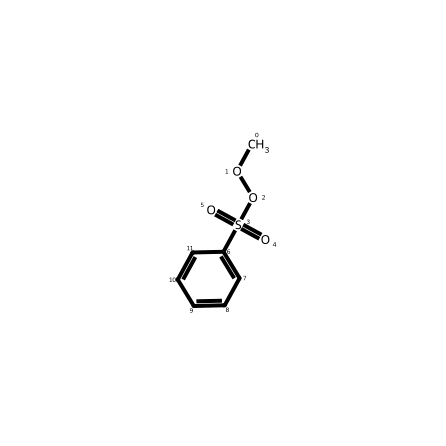 COOS(=O)(=O)c1ccccc1